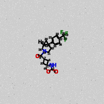 O=C1N[C@]2(CO1)C[C@H](C(=O)N1CC[C@@]3(c4ccc(C(F)(F)F)cc4)C[C@H]3C1)C2